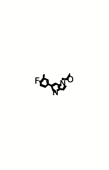 Cc1cc(-c2cnc3ccn(CC4CO4)c3c2)ccc1F